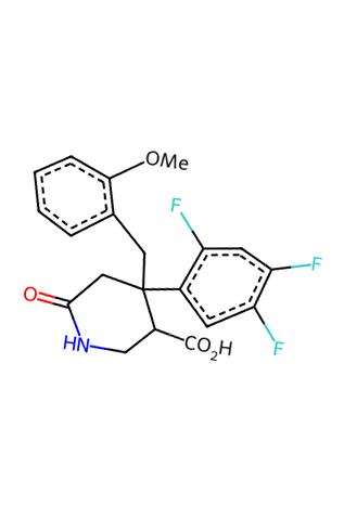 COc1ccccc1CC1(c2cc(F)c(F)cc2F)CC(=O)NCC1C(=O)O